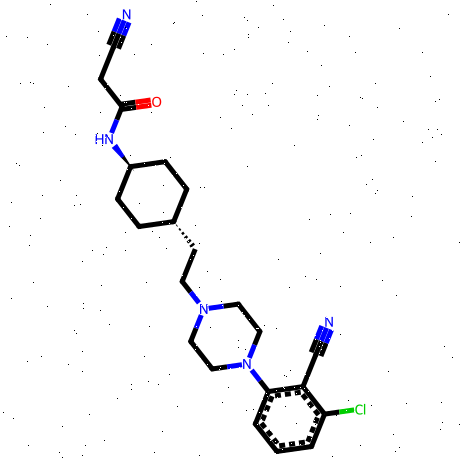 N#CCC(=O)N[C@H]1CC[C@H](CCN2CCN(c3cccc(Cl)c3C#N)CC2)CC1